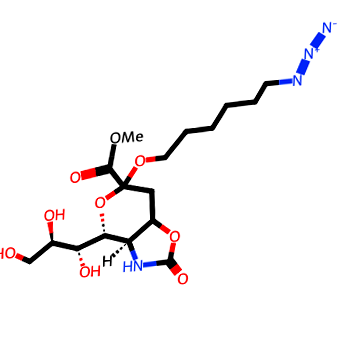 COC(=O)C1(OCCCCCCN=[N+]=[N-])CC2OC(=O)N[C@H]2[C@H]([C@H](O)[C@H](O)CO)O1